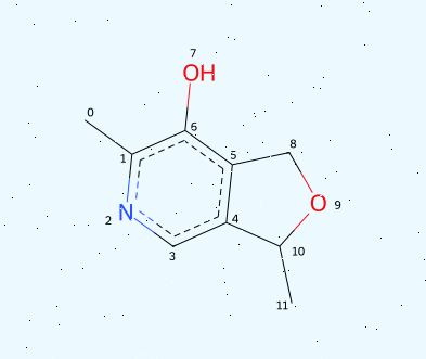 Cc1ncc2c(c1O)COC2C